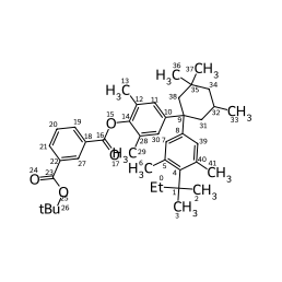 CCC(C)(C)c1c(C)cc(C2(c3cc(C)c(OC(=O)c4cccc(C(=O)OC(C)(C)C)c4)c(C)c3)CC(C)CC(C)(C)C2)cc1C